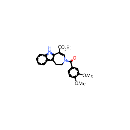 CCOC(=O)C1=CN(C(=O)c2ccc(OC)c(OC)c2)CCc2c1[nH]c1ccccc21